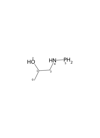 CC(O)CNP